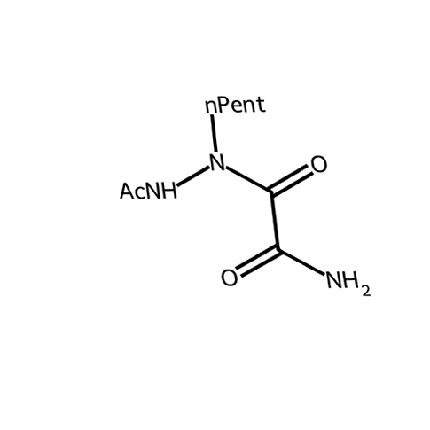 CCCCCN(NC(C)=O)C(=O)C(N)=O